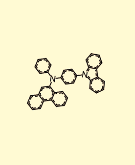 c1ccc(N(c2ccc(-n3c4ccccc4c4ccccc43)cc2)c2cc3ccccc3c3ccccc23)cc1